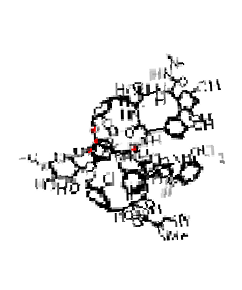 CN[C@H](CC(C)C)C(=O)N[C@H]1C(=O)N[C@@H](CC(N)=O)C(=O)N[C@H]2C(=O)N[C@H]3C(=O)N[C@H](C(=O)N[C@@H](C(=O)NN(C)C)c4cc(O)cc(O)c4-c4cc3ccc4O)[C@H](O)c3ccc(c(Cl)c3)Oc3cc2cc(c3O[C@@H]2O[C@H](CO)[C@@H](O)[C@H](O)[C@H]2O[C@H]2C[C@](C)(NCc3cncc(C(=O)Nc4cccc(OC(F)(F)F)c4)c3)[C@H](O)[C@H](C)O2)Oc2ccc(cc2Cl)[C@H]1O